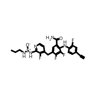 C#Cc1ccc(Nc2c(C(N)=O)cc(Cc3ccnc(N[S+]([O-])NCCC)c3F)c(F)c2F)c(F)c1